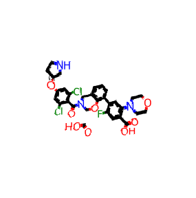 O=C(O)c1cc(F)c(-c2cccc3c2OCN(C(=O)c2c(Cl)cc(O[C@H]4CCNC4)cc2Cl)C3)cc1N1CCOCC1.O=CO